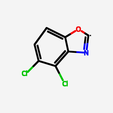 Clc1ccc2o[c]nc2c1Cl